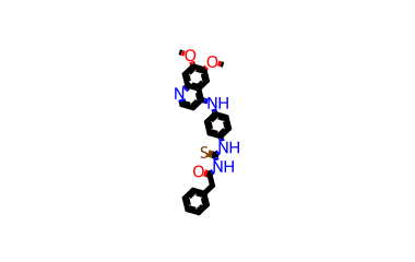 COc1cc2nccc(Nc3ccc(NC(=S)NC(=O)Cc4ccccc4)cc3)c2cc1OC